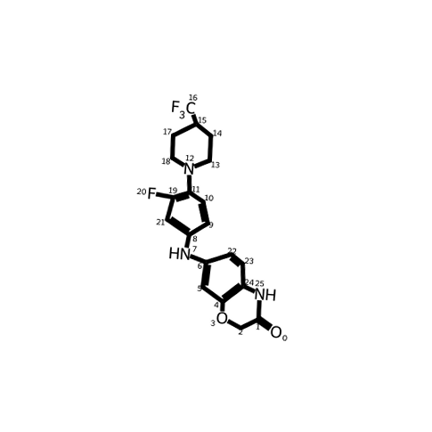 O=C1COc2cc(Nc3ccc(N4CCC(C(F)(F)F)CC4)c(F)c3)ccc2N1